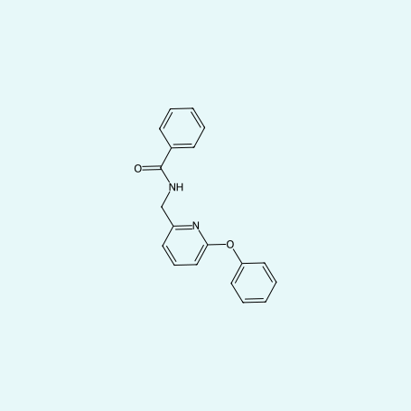 O=C(NCc1cccc(Oc2ccccc2)n1)c1ccccc1